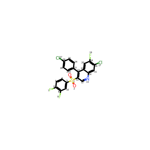 O=S(=O)(c1ccc(F)c(F)c1)c1cnc2cc(Cl)c(F)cc2c1-c1ccc(Cl)cc1